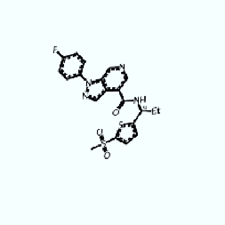 CC[C@H](NC(=O)c1cncc2c1cnn2-c1ccc(F)cc1)c1ccc(S(C)(=O)=O)s1